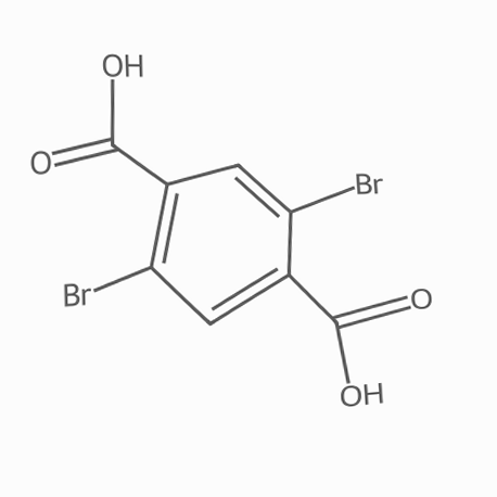 O=C(O)c1cc(Br)c(C(=O)O)cc1Br